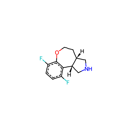 Fc1ccc(F)c2c1OCC[C@@H]1CNC[C@H]21